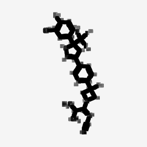 CC(C)C(=NC#N)N1CC(F)(c2ccc(C3=NOC(c4ccc(F)c(Cl)c4)(C(F)(F)F)C3)cn2)C1